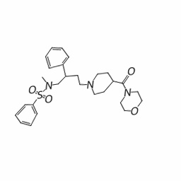 CN(CC(CCN1CCC(C(=O)N2CCOCC2)CC1)c1ccccc1)S(=O)(=O)c1ccccc1